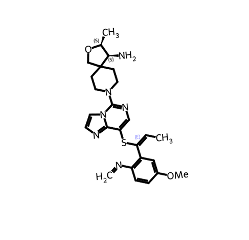 C=Nc1ccc(OC)cc1/C(=C\C)Sc1cnc(N2CCC3(CC2)CO[C@@H](C)[C@H]3N)n2ccnc12